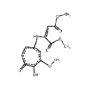 COC(=O)C=C(Nc1ccc(=O)c(O)c(OC)c1)C(=O)OC